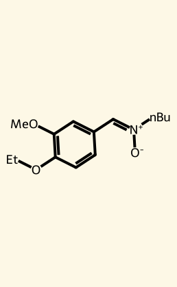 CCCC[N+]([O-])=Cc1ccc(OCC)c(OC)c1